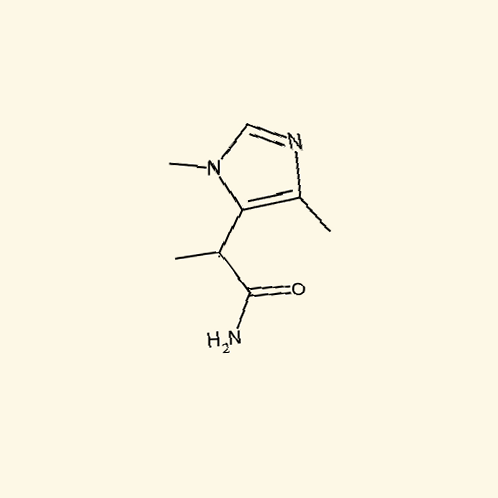 C[C](C(N)=O)c1c(C)ncn1C